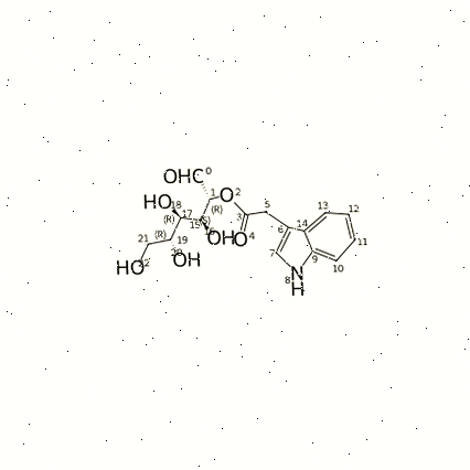 O=C[C@H](OC(=O)Cc1c[nH]c2ccccc12)[C@@H](O)[C@H](O)[C@H](O)CO